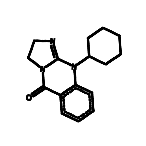 O=C1c2ccccc2N(C2CCCCC2)C2=NCCN12